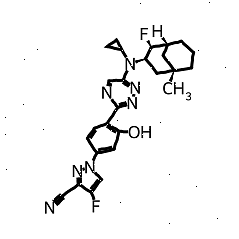 C[C@]12CCC[C@H](C1)[C@H](F)[C@H](N(c1cnc(-c3ccc(-n4cc(F)c(C#N)n4)cc3O)nn1)C1CC1)C2